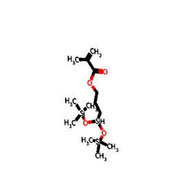 C=C(C)C(=O)OCCC[SiH](O[Si](C)(C)C)O[Si](C)(C)C